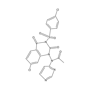 CC(=O)N(c1ccncn1)n1c(=O)n(S(=O)(=O)c2ccc(Cl)cc2)c(=O)c2ccc(Cl)cc21